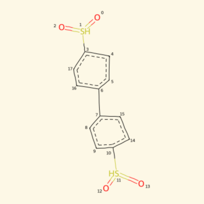 O=[SH](=O)c1ccc(-c2ccc([SH](=O)=O)cc2)cc1